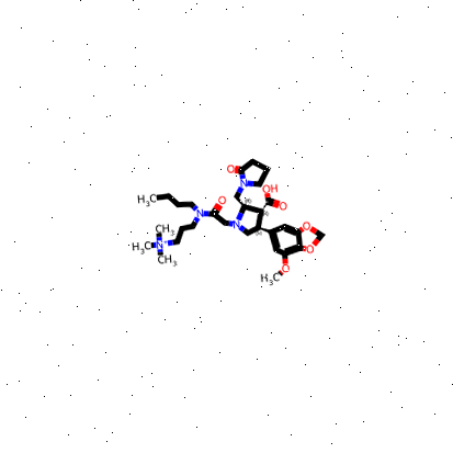 CCCCN(CCC[N+](C)(C)C)C(=O)CN1C[C@H](c2cc(OC)c3c(c2)OCO3)[C@@H](C(=O)O)[C@@H]1CN1CCCC1=O